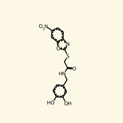 O=C(CSc1nc2ccc([N+](=O)[O-])cc2o1)NCc1ccc(O)c(O)c1